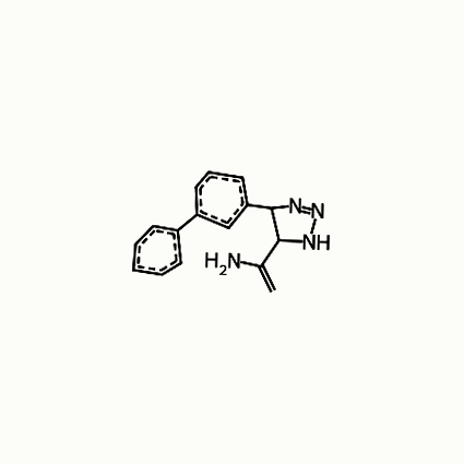 C=C(N)C1NN=NC1c1cccc(-c2ccccc2)c1